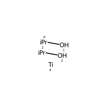 CC(C)O.CC(C)O.[Ti]